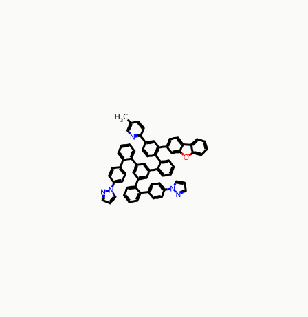 Cc1ccc(-c2ccc(-c3ccccc3-c3cc(-c4ccccc4-c4ccc(-n5cccn5)cc4)cc(-c4ccccc4-c4ccc(-n5cccn5)cc4)c3)c(-c3ccc4c(c3)oc3ccccc34)c2)nc1